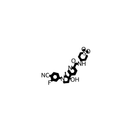 C[C@@H]1N(c2ccc(C#N)c(F)c2)CC[C@@]1(O)c1ccc(C(=O)NC2CCS(=O)(=O)CC2)nc1